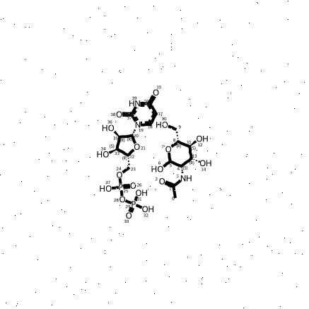 CC(=O)N[C@@H]1C(O)O[C@H](CO)[C@@H](O)[C@@H]1O.O=c1ccn([C@@H]2O[C@H](COP(=O)(O)OP(=O)(O)O)[C@@H](O)[C@H]2O)c(=O)[nH]1